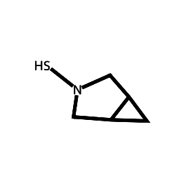 SN1CC2CC2C1